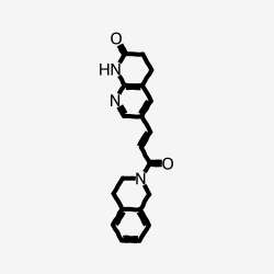 O=C1CCc2cc(C=CC(=O)N3CCc4ccccc4C3)cnc2N1